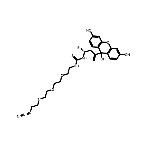 C=C(C[C@H](CC)NC(=S)NCCOCCOCCOCCN=[N+]=[N-])C1(O)c2ccc(O)cc2Oc2cc(O)ccc21